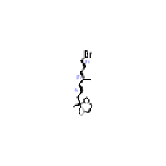 CC(/C=C/CC1(C)OCCO1)=C\C=C\Br